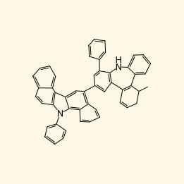 CC1CC=CC2=C1c1ccccc1Nc1c2cc(-c2cc3c4c5ccccc5ccc4n(-c4ccccc4)c3c3ccccc23)cc1-c1ccccc1